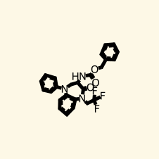 O=C(NC1CN(c2ccccc2)c2ccccc2N(CC(F)(F)F)C1=O)OCc1ccccc1